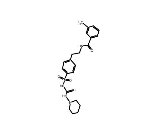 O=C(NN1CCCCC1)NS(=O)(=O)c1ccc(CCNC(=O)c2cccc(C(F)(F)F)c2)cc1